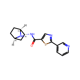 O=C(N[C@@H]1C[C@H]2CC[C@@H]1N2)c1cnc(-c2cccnc2)s1